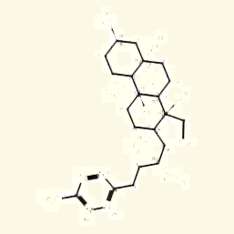 Cc1nnc(CC[C@@H](C)[C@H]2CC[C@H]3[C@@H]4CC[C@@H]5C[C@H](O)CC[C@]5(C)[C@H]4CC[C@]23C)nn1